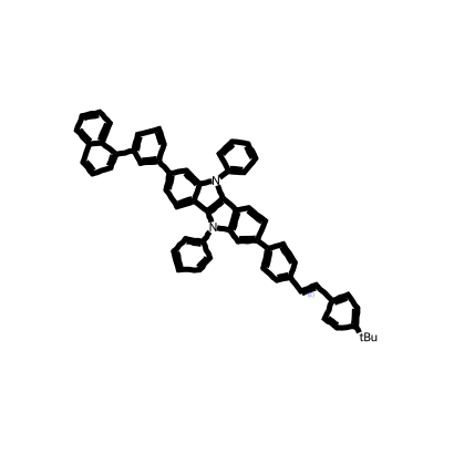 CC(C)(C)c1ccc(/C=C/c2ccc(-c3ccc4c(c3)n(-c3ccccc3)c3c5ccc(-c6cccc(-c7cccc8ccccc78)c6)cc5n(-c5ccccc5)c43)cc2)cc1